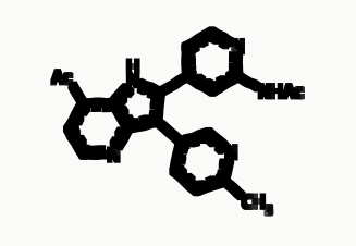 CC(=O)Nc1cc(-c2[nH]c3c(C(C)=O)ccnc3c2-c2ccc(C)nc2)ccn1